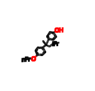 CCCOc1ccc(C(C)(CC(C)C)c2ccc(O)cc2)cc1